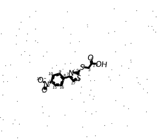 O=C(O)CSc1nc(-c2ccc([N+](=O)[O-])cc2)cs1